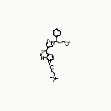 COCCC(c1ccccc1)n1cc(-c2ncnc3c2ccn3COCC[Si](C)(C)C)cn1